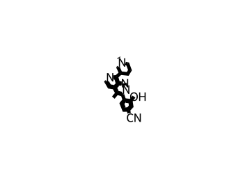 Cc1c(-c2ccc(C#N)cc2O)nnc2c(C3CCCN(C)C3)nccc12